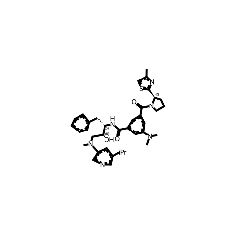 Cc1csc([C@H]2CCCN2C(=O)c2cc(C(=O)N[C@@H](Cc3ccccc3)[C@H](O)CN(C)c3cncc(C(C)C)c3)cc(N(C)C)c2)n1